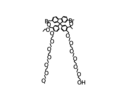 CCOC(=O)c1cc(C2(c3ccc(COCCOCCOCCOCCOCCOCCO)c(C(C)=O)c3)c3cc(Br)ccc3-c3ccc(Br)cc32)ccc1OCCOCCOCCOCCOCCOCCOC